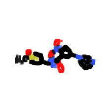 C[SH]1(=O)CCC(CNC(=O)c2cc(N3CCN4CCC3CC4)ccc2[N+](=O)[O-])CC1